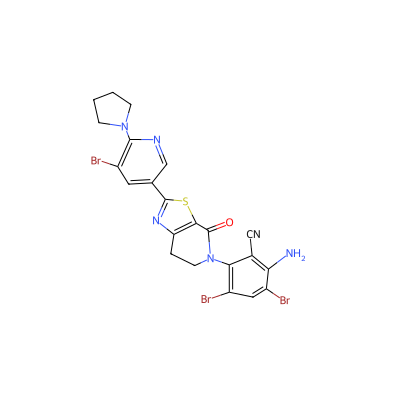 N#Cc1c(N)c(Br)cc(Br)c1N1CCc2nc(-c3cnc(N4CCCC4)c(Br)c3)sc2C1=O